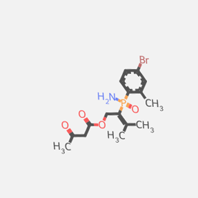 CC(=O)CC(=O)OCC(=C(C)C)P(N)(=O)c1ccc(Br)cc1C